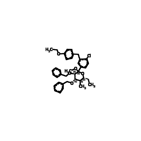 CCOc1ccc(Cc2cc([C@]3(OC)O[C@H](CC)[C@@H](C)[C@H](OCc4ccccc4)[C@H]3OCc3ccccc3)ccc2Cl)cc1